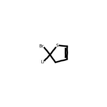 [Li][C]1(Br)CC=CS1